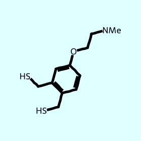 CNCCOc1ccc(CS)c(CS)c1